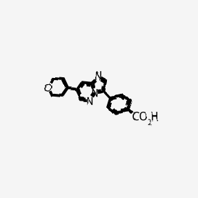 O=C(O)c1ccc(-c2cnc3cc(C4=CCOCC4)cnn23)cc1